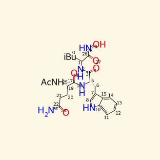 CCC(C)C(NC(=O)[C@H](Cc1c[nH]c2ccccc12)NC(=O)[C@H](CCC(N)=O)NC(C)=O)C(=O)NO